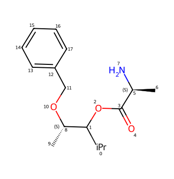 CC(C)C(OC(=O)[C@H](C)N)[C@H](C)OCc1ccccc1